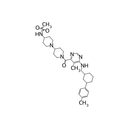 Cc1ccc(C2CCCC(CNc3ncnc(C(=O)N4CCC(N5CCC(NS(C)(=O)=O)CC5)CC4)c3C)C2)cc1